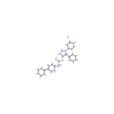 O=C(Cc1nnn(-c2ccnc(F)c2)c1-c1ccccc1)Nc1ccc(-c2ccccc2)cn1